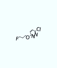 FCCCOc1ccc(Cl)nn1